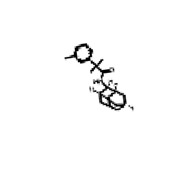 Cc1cccc(C(C)(C)C(=O)N[C@@H]2[C@@H]3CC4C[C@H]2C[C@](F)(C4)C3)c1